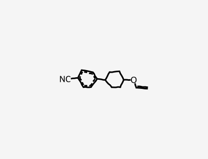 C=COC1CCC(c2ccc(C#N)cc2)CC1